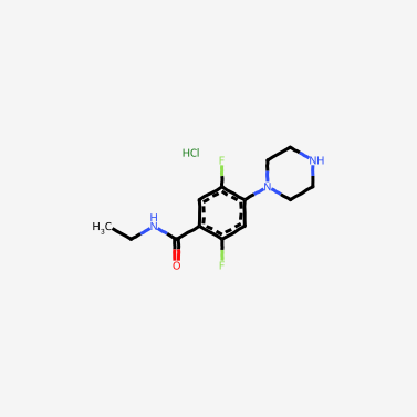 CCNC(=O)c1cc(F)c(N2CCNCC2)cc1F.Cl